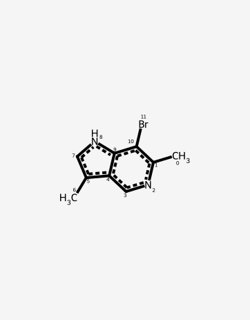 Cc1ncc2c(C)c[nH]c2c1Br